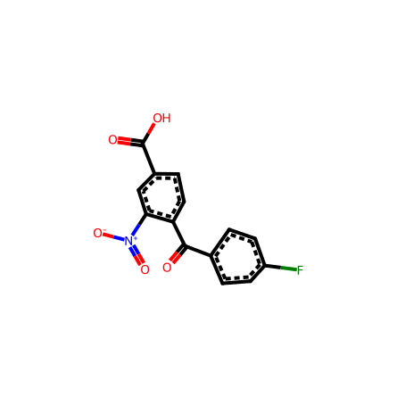 O=C(O)c1ccc(C(=O)c2ccc(F)cc2)c([N+](=O)[O-])c1